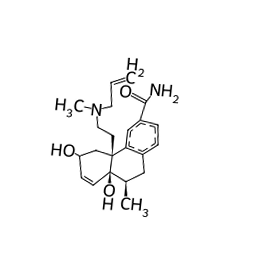 C=CCN(C)CC[C@]12CC(O)C=C[C@@]1(O)[C@H](C)Cc1ccc(C(N)=O)cc12